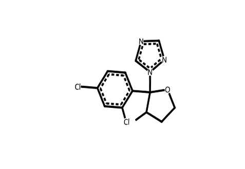 CC1CCOC1(c1ccc(Cl)cc1Cl)n1cncn1